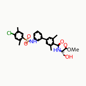 COC(=O)[C@H](CO)NC(=O)c1c(C)cc(-c2cccc(NS(=O)(=O)c3cc(C)c(Cl)cc3C)c2)cc1C